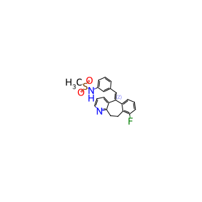 CS(=O)(=O)Nc1cccc(/C=C2\c3cccnc3CCc3c(F)cccc32)c1